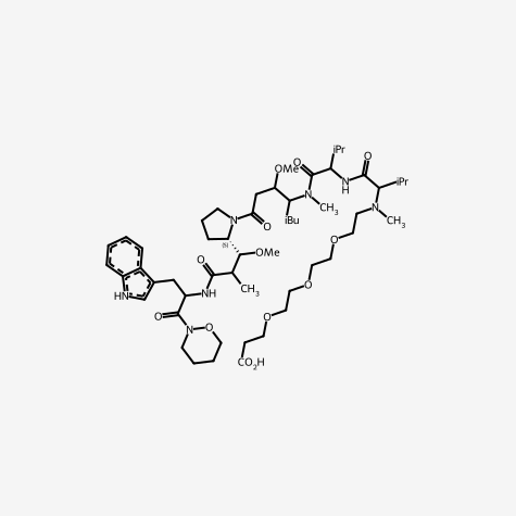 CCC(C)C(C(CC(=O)N1CCC[C@H]1C(OC)C(C)C(=O)NC(Cc1c[nH]c2ccccc12)C(=O)N1CCCCO1)OC)N(C)C(=O)C(NC(=O)C(C(C)C)N(C)CCOCCOCCOCCC(=O)O)C(C)C